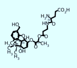 Cc1ccc(CO)c2c1[C@]13CCN(C)[C@H](C)[C@]1(O)CC=C(OC(=O)[C@H](C)OC(=O)CCNC(=O)[C@@H](N)CCC(=O)O)[C@@H]3O2